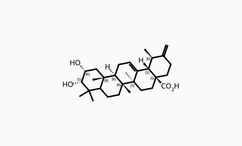 C=C1CC[C@]2(C(=O)O)CC[C@]3(C)C(=CC[C@@H]4[C@@]5(C)C[C@@H](O)[C@@H](O)C(C)(C)C5CC[C@]43C)[C@@H]2[C@H]1C